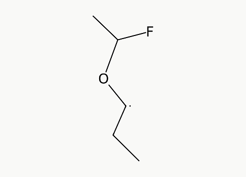 CC[CH]OC(C)F